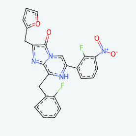 O=c1c(Cc2ccco2)nc2c(Cc3ccccc3F)[nH]c(-c3cccc([N+](=O)[O-])c3F)cn1-2